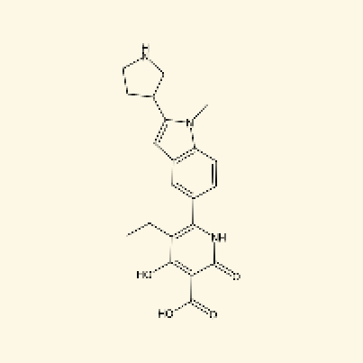 CCc1c(-c2ccc3c(c2)cc(C2CCNC2)n3C)[nH]c(=O)c(C(=O)O)c1O